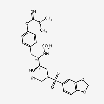 CC(C)CN(C[C@@H](O)[C@H](Cc1ccc(OC(=N)N(C)C)cc1)NC(=O)O)S(=O)(=O)c1ccc2c(c1)OCO2